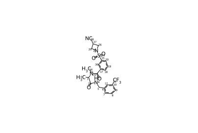 CC(C(=O)NCc1cccc(C(F)(F)F)c1)N(C)C(=O)c1cccc(S(=O)(=O)N2CC(C#N)C2)c1